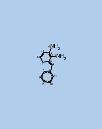 NC1=C(N)C(=Cc2ccccc2)CC=C1